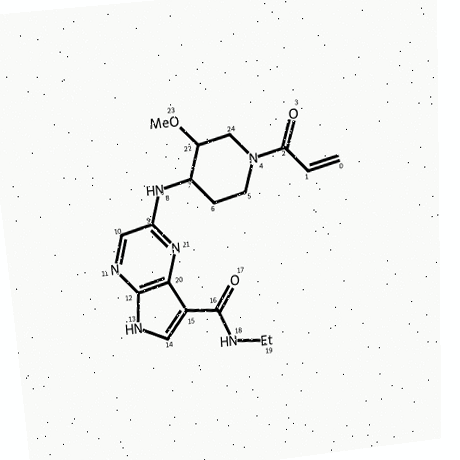 C=CC(=O)N1CCC(Nc2cnc3[nH]cc(C(=O)NCC)c3n2)C(OC)C1